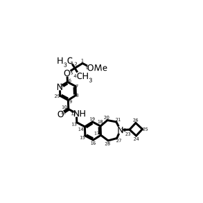 COCC(C)(C)Oc1ccc(C(=O)NCc2ccc3c(c2)CCN(C2CCC2)CC3)cn1